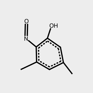 Cc1cc(C)c(N=O)c(O)c1